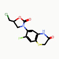 O=C1CSc2cc(F)c(N3CC(CCl)OC3=O)cc2N1